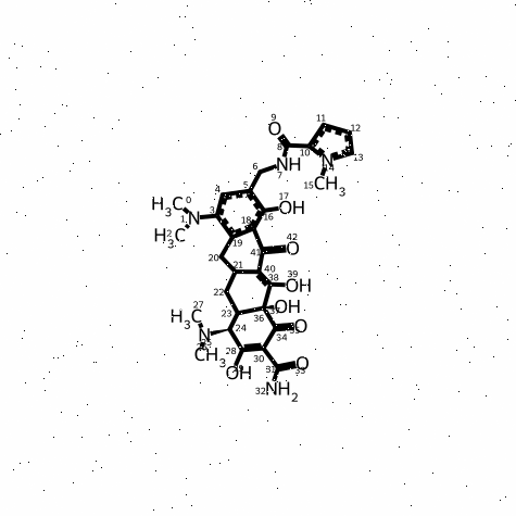 CN(C)c1cc(CNC(=O)c2cccn2C)c(O)c2c1CC1CC3[C@H](N(C)C)C(O)=C(C(N)=O)C(=O)[C@@]3(O)C(O)=C1C2=O